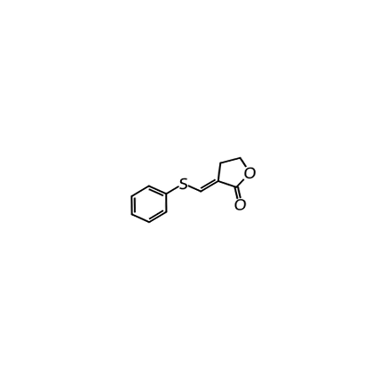 O=C1OCC/C1=C\Sc1ccccc1